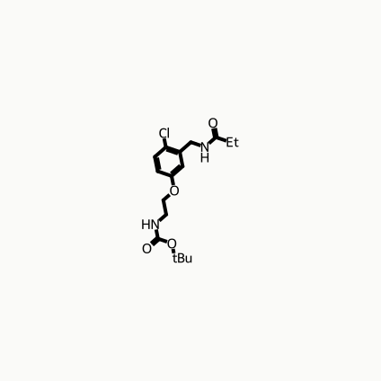 CCC(=O)NCc1cc(OCCNC(=O)OC(C)(C)C)ccc1Cl